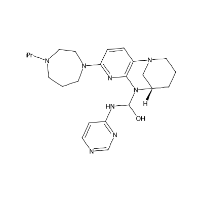 CC(C)N1CCCN(c2ccc3c(n2)N(C(O)Nc2ccncn2)[C@H]2CCCN3C2)CC1